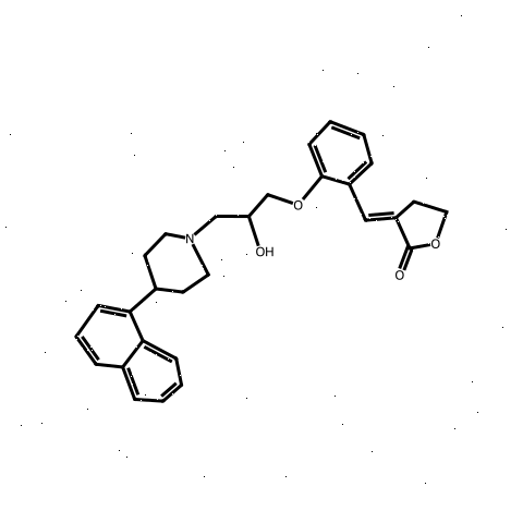 O=C1OCCC1=Cc1ccccc1OCC(O)CN1CCC(c2cccc3ccccc23)CC1